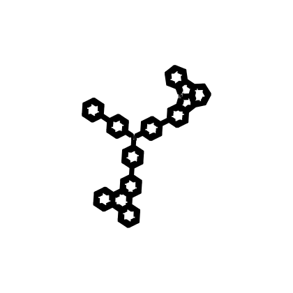 c1ccc(-c2ccc(N(c3ccc(-c4ccc5c6ccccc6c6ccccc6c5c4)cc3)c3ccc(-c4ccc5c6cccc7c8ccccc8n(c5c4)c76)cc3)cc2)cc1